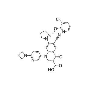 N#Cc1cc2c(=O)c(C(=O)O)cn(-c3ccc(N4CCC4)nc3)c2cc1N1CCC[C@@H]1COc1ncccc1Cl